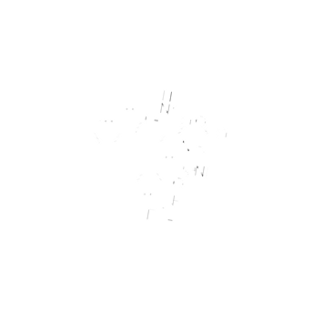 COC(=O)[C@@H]1CN[S+]([O-])c2c(-c3cccc(C(F)(F)F)c3)c(Cc3cccc4ccccc34)c(C(N)=O)c(=O)n21